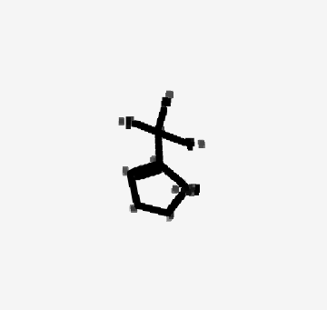 FC(F)(F)C1=CC[C]N1